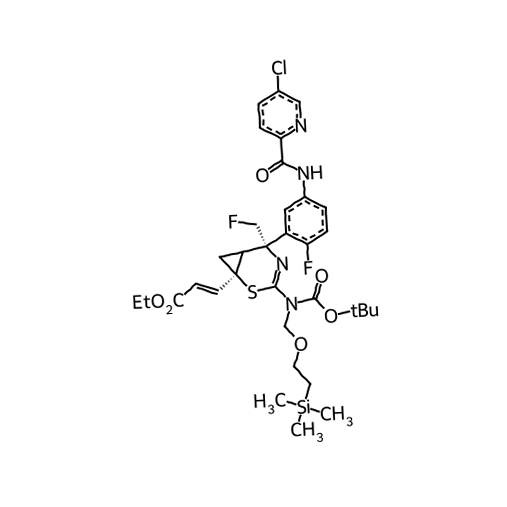 CCOC(=O)/C=C/[C@]12CC1[C@@](CF)(c1cc(NC(=O)c3ccc(Cl)cn3)ccc1F)N=C(N(COCC[Si](C)(C)C)C(=O)OC(C)(C)C)S2